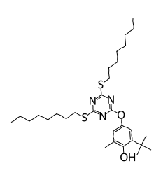 CCCCCCCCSc1nc(Oc2cc(C)c(O)c(C(C)(C)C)c2)nc(SCCCCCCCC)n1